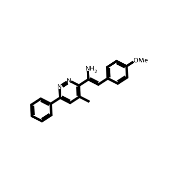 COc1ccc(/C=C(\N)c2nnc(-c3ccccc3)cc2C)cc1